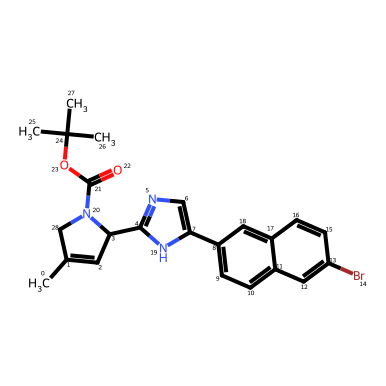 CC1=CC(c2ncc(-c3ccc4cc(Br)ccc4c3)[nH]2)N(C(=O)OC(C)(C)C)C1